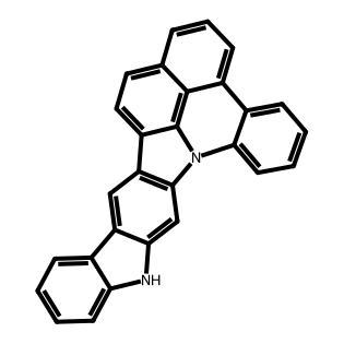 c1ccc2c(c1)[nH]c1cc3c(cc12)c1ccc2cccc4c5ccccc5n3c1c24